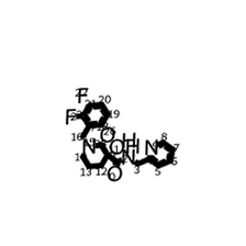 O=C(NCc1ccccn1)[C@@]1(O)CCCN(Cc2cccc(F)c2F)C1=O